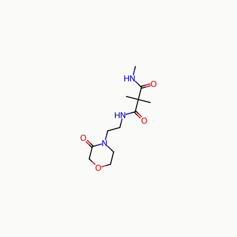 CNC(=O)C(C)(C)C(=O)NCCN1CCOCC1=O